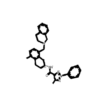 Cc1ccc(CN2CCc3ccccc3C2)c2c1CC[C@@H](NC(=O)c1nn(-c3ccccc3)nc1C)C2